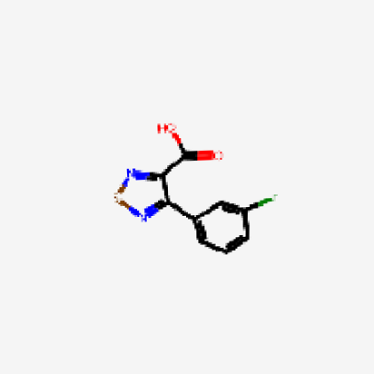 O=C(O)c1nsnc1-c1cccc(F)c1